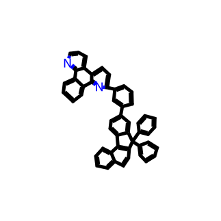 c1ccc(C2(c3ccccc3)c3cc(-c4cccc(-c5ccc6c7cccnc7c7ccccc7c6n5)c4)ccc3-c3c2ccc2ccccc32)cc1